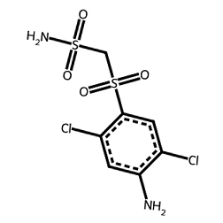 Nc1cc(Cl)c(S(=O)(=O)CS(N)(=O)=O)cc1Cl